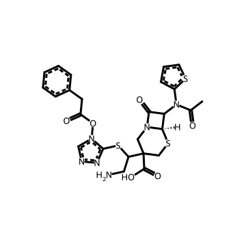 CC(=O)N(c1cccs1)C1C(=O)N2CC(C(=O)O)(C(CN)Sc3nncn3OC(=O)Cc3ccccc3)CS[C@H]12